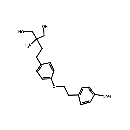 COc1ccc(CCOc2ccc(CCC(N)(CO)CO)cc2)cc1